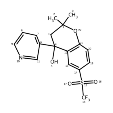 CC1(C)CC(O)(c2cccnc2)c2cc(S(=O)(=O)C(F)(F)F)ccc2O1